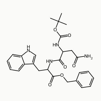 CC(C)(C)OC(=O)NC(CC(N)=O)C(=O)NC(Cc1c[nH]c2ccccc12)C(=O)OCc1ccccc1